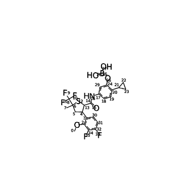 COc1c(C2CC(C)(C(F)(F)F)SC2C(=O)Nc2ccc(C3CC3)c(OB(O)O)c2)ccc(F)c1F